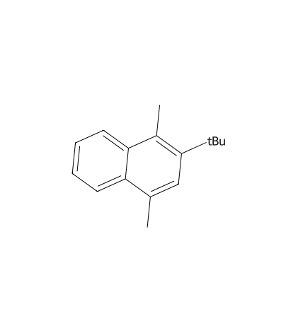 Cc1cc(C(C)(C)C)c(C)c2ccccc12